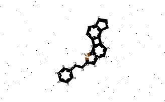 C1=Cc2ccc3c(c2C1)-c1ccc2cc(CCc4ccccc4)sc2c1-3